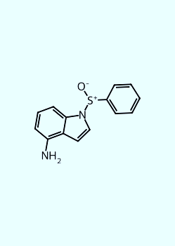 Nc1cccc2c1ccn2[S+]([O-])c1ccccc1